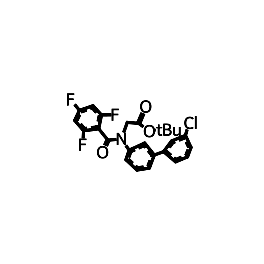 CC(C)(C)OC(=O)CN(C(=O)c1c(F)cc(F)cc1F)c1cccc(-c2cccc(Cl)c2)c1